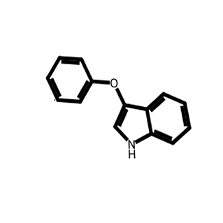 [c]1cccc(Oc2c[nH]c3ccccc23)c1